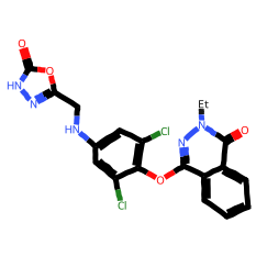 CCn1nc(Oc2c(Cl)cc(NCc3n[nH]c(=O)o3)cc2Cl)c2ccccc2c1=O